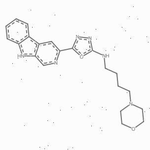 c1ccc2c(c1)[nH]c1cnc(-c3nnc(NCCCCN4CCOCC4)o3)cc12